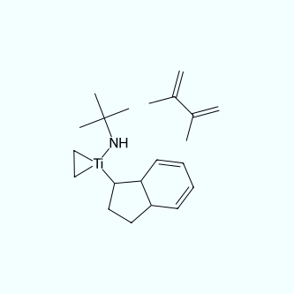 C=C(C)C(=C)C.CC(C)(C)[NH][Ti]1([CH]2CCC3C=CC=CC32)[CH2][CH2]1